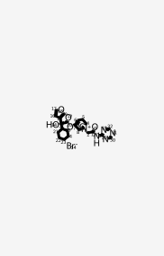 O=C(C[N+]12CCC(CC1)C(OC(=O)[C@](O)(c1ccoc1)C1CCCCC1)C2)Nc1ncncn1.[Br-]